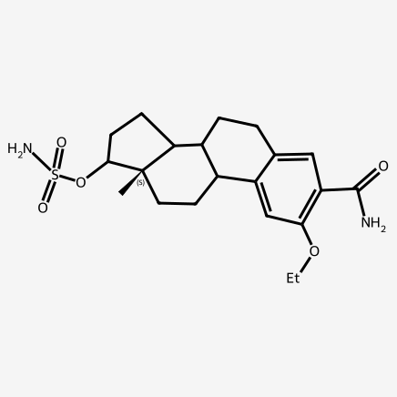 CCOc1cc2c(cc1C(N)=O)CCC1C2CC[C@]2(C)C(OS(N)(=O)=O)CCC12